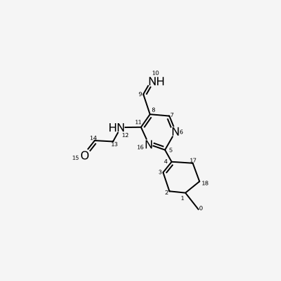 CC1CC=C(c2ncc(C=N)c(NCC=O)n2)CC1